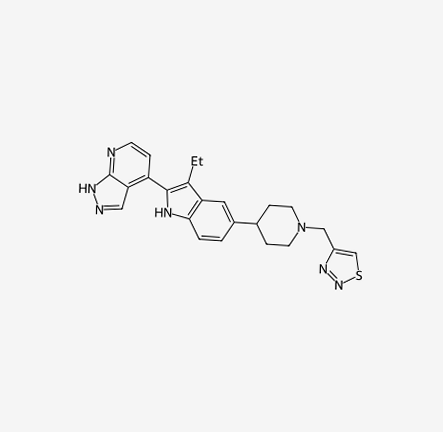 CCc1c(-c2ccnc3[nH]ncc23)[nH]c2ccc(C3CCN(Cc4csnn4)CC3)cc12